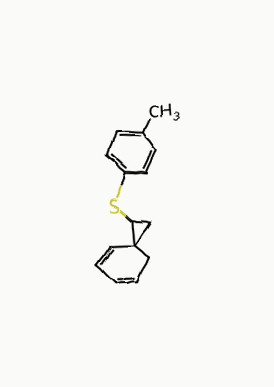 Cc1ccc(SC2CC23C=CC=CC3)cc1